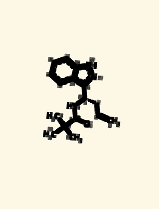 C=CC[C@H](N[S+]([O-])C(C)(C)C)c1n[nH]c2ccccc12